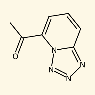 CC(=O)c1cccc2nnnn12